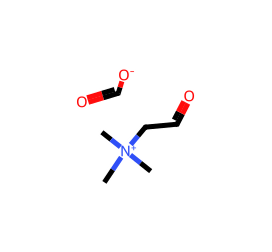 C[N+](C)(C)CC=O.O=C[O-]